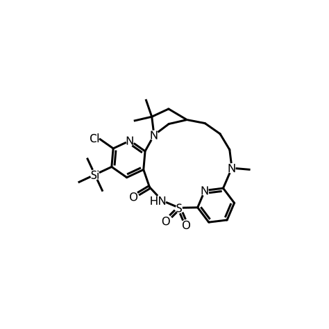 CN1CCCC2CN(c3nc(Cl)c([Si](C)(C)C)cc3C(=O)NS(=O)(=O)c3cccc1n3)C(C)(C)C2